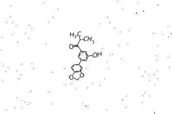 CC(C)C(=O)c1cc(O)cc(-c2ccc3c(c2)OCO3)c1